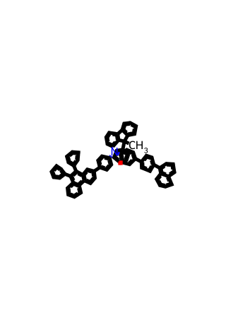 CC1(c2ccccc2)c2ccccc2-c2cccc(N(c3ccc(-c4ccc(-c5cccc6ccccc56)cc4)cc3)c3ccc(-c4ccc5c(c4)c(-c4ccccc4)c(-c4ccccc4)c4ccccc45)cc3)c21